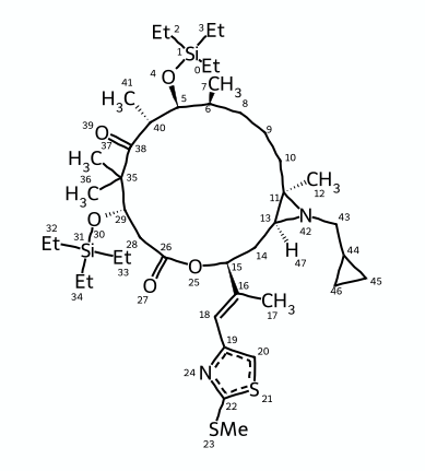 CC[Si](CC)(CC)O[C@H]1[C@@H](C)CCC[C@]2(C)[C@H](C[C@@H](/C(C)=C/c3csc(SC)n3)OC(=O)C[C@H](O[Si](CC)(CC)CC)C(C)(C)C(=O)[C@@H]1C)N2CC1CC1